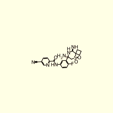 N#Cc1ccc(C(=O)Nc2ccc(F)c([C@]3(N)CS(=O)(=O)C4(CCC4)C(=N)N3)c2)nc1